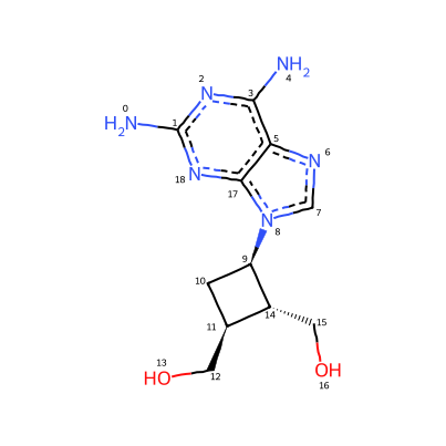 Nc1nc(N)c2ncn([C@@H]3C[C@H](CO)[C@H]3CO)c2n1